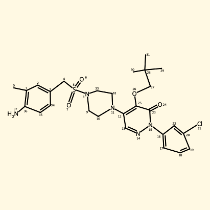 Cc1cc(CS(=O)(=O)N2CCN(c3cnn(-c4cccc(Cl)c4)c(=O)c3OCC(C)(C)C)CC2)ccc1N